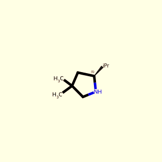 CC(C)[C@@H]1CC(C)(C)CN1